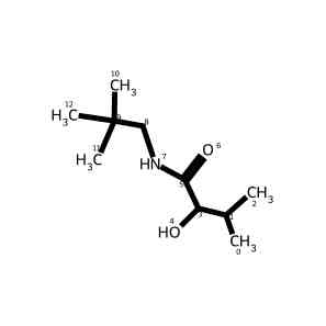 CC(C)C(O)C(=O)NCC(C)(C)C